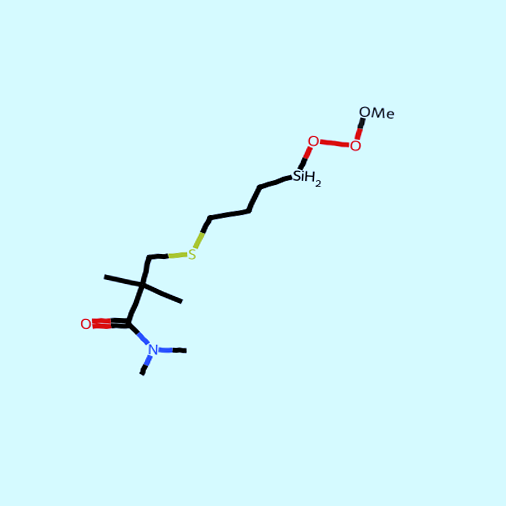 COOO[SiH2]CCCSCC(C)(C)C(=O)N(C)C